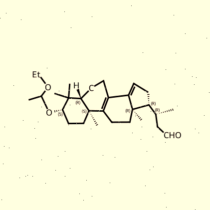 CCOC(C)O[C@H]1CC[C@]2(C)C3=C(CC[C@H]2C1(C)C)C1=CC[C@H]([C@H](C)CC=O)[C@@]1(C)CC3